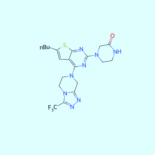 CCCCc1cc2c(N3CCn4c(nnc4C(F)(F)F)C3)nc(N3CCNC(=O)C3)nc2s1